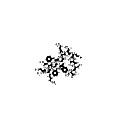 CSCC[C@H](NC(=O)[C@@H](NC(=O)[C@H](CCCCN)NC(=O)[C@H](Cc1c[nH]c2ccccc12)NC(=O)[C@H](Cc1ccccc1)NC(=O)[C@H](Cc1ccccc1)NC(=O)[C@H](CC(N)=O)NC(=O)[C@H](CCCCN)NC(=O)[C@@H](N)CS)[C@@H](C)O)C(=O)N[C@H](C(=O)N[C@@H](CO)C(=O)N[C@@H](CS)C(=O)O)[C@@H](C)O